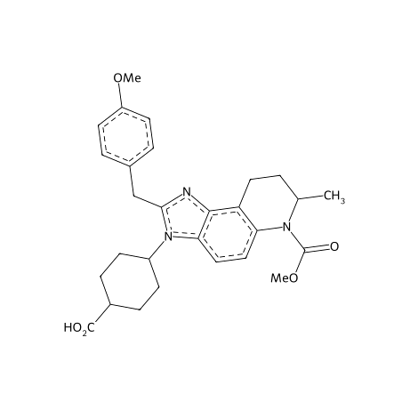 COC(=O)N1c2ccc3c(nc(Cc4ccc(OC)cc4)n3C3CCC(C(=O)O)CC3)c2CCC1C